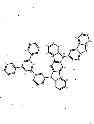 c1ccc(-c2nc(-c3ccccc3)nc(-c3cccc(-n4c5ccccc5c5cc6c(cc54)c4ccccc4n6-c4ccc5oc6ccccc6c5c4)c3)n2)cc1